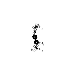 C=C(C)C(=O)OCCOc1ccc(-c2ccc(OC(=O)C(=C)C)c(C)c2)cc1